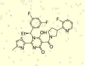 CC[C@@H](c1cc(F)cc(F)c1)n1c(-c2nc(C)cs2)nc(=O)c(C(=O)N2CCC(c3ncccc3F)C2)c1O